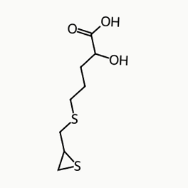 O=C(O)C(O)CCCSCC1CS1